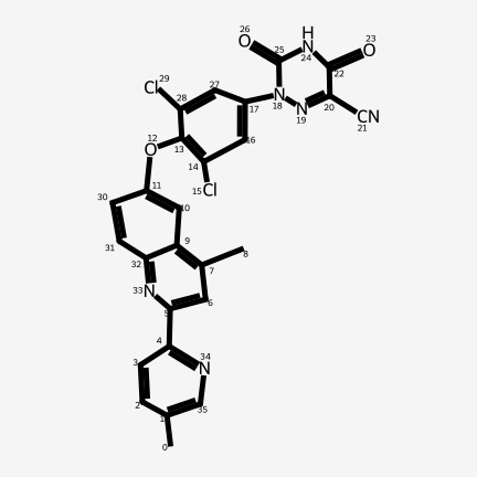 Cc1ccc(-c2cc(C)c3cc(Oc4c(Cl)cc(-n5nc(C#N)c(=O)[nH]c5=O)cc4Cl)ccc3n2)nc1